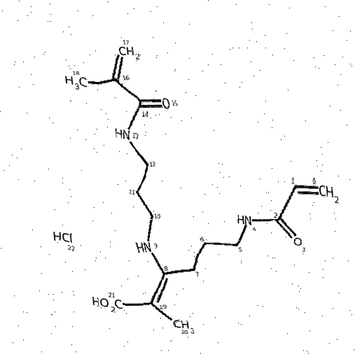 C=CC(=O)NCCCC(NCCCNC(=O)C(=C)C)=C(C)C(=O)O.Cl